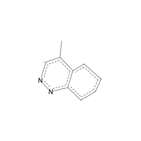 Cc1[c]nnc2ccccc12